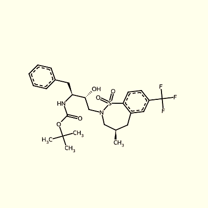 C[C@@H]1Cc2cc(C(F)(F)F)ccc2S(=O)(=O)N(C[C@@H](O)[C@H](Cc2ccccc2)NC(=O)OC(C)(C)C)C1